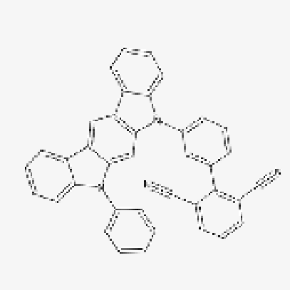 N#Cc1cccc(C#N)c1-c1cccc(-n2c3ccccc3c3cc4c5ccccc5n(-c5ccccc5)c4cc32)c1